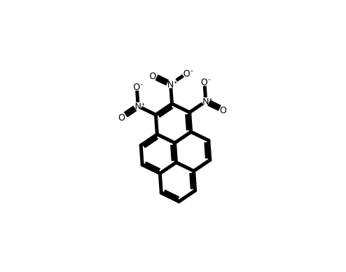 O=[N+]([O-])c1c([N+](=O)[O-])c2ccc3cccc4ccc(c1[N+](=O)[O-])c2c34